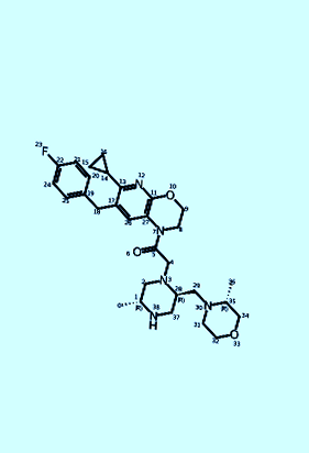 C[C@@H]1CN(CC(=O)N2CCOc3nc(C4CC4)c(Cc4ccc(F)cc4)cc32)[C@@H](CN2CCOC[C@H]2C)CN1